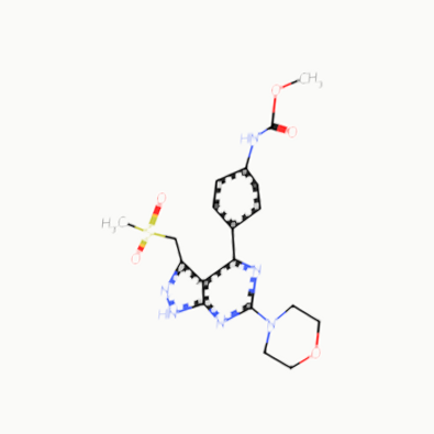 COC(=O)Nc1ccc(-c2nc(N3CCOCC3)nc3[nH]nc(CS(C)(=O)=O)c23)cc1